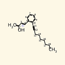 C=C(O)/C=C/c1ccccc1C#CCCCCCCC